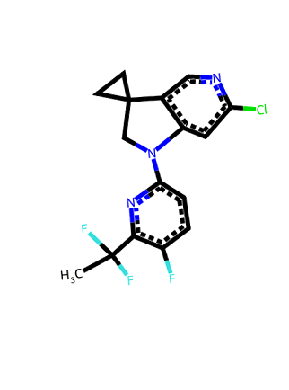 CC(F)(F)c1nc(N2CC3(CC3)c3cnc(Cl)cc32)ccc1F